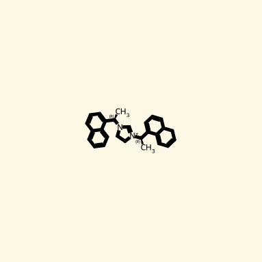 C[C@H](c1cccc2ccccc12)N1C=[N+]([C@H](C)C2=CC=CC3CC=CC=C23)CC1